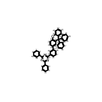 c1ccc(-c2nc(-c3ccccc3)nc(-c3cccc(-c4ccc5c(c4)C(c4ccccc4)(c4ccccc4)c4ccccc4O5)c3)n2)cc1